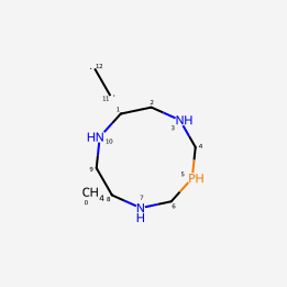 C.C1CNCPCNCCN1.[CH2][CH2]